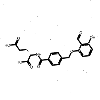 O=Cc1c(O)cccc1OCc1ccc(C(=O)N[C@@H](CCC(=O)O)C(=O)O)cc1